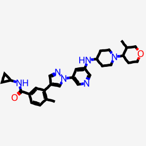 Cc1ccc(C(=O)NC2CC2)cc1-c1cnn(-c2cncc(NC3CCN(C4CCOCC4C)CC3)c2)c1